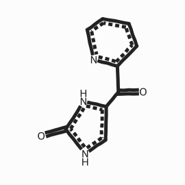 O=C(c1ccccn1)c1c[nH]c(=O)[nH]1